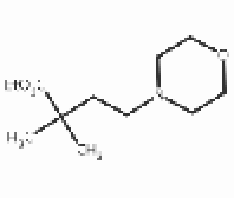 CCOC(=O)C(C)(C)CCN1CCOCC1